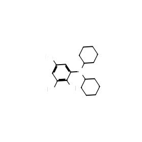 CC(C)(C)c1cc(P(C2CCCCC2)C2CCCCC2)c(O)c(C(C)(C)C)c1